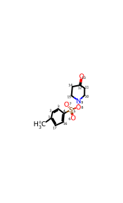 Cc1ccc(S(=O)(=O)ON2CCC(=O)CC2)cc1